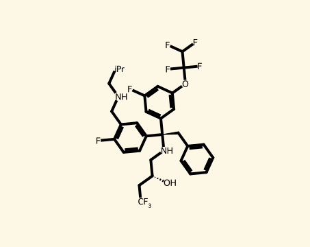 CC(C)CNCc1cc([C@@](Cc2ccccc2)(NC[C@H](O)CC(F)(F)F)c2cc(F)cc(OC(F)(F)C(F)F)c2)ccc1F